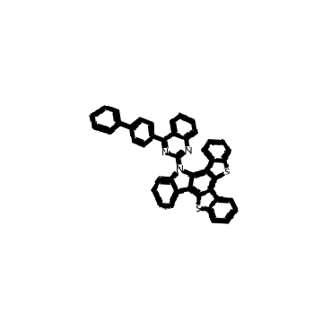 c1ccc(-c2ccc(-c3nc(-n4c5ccccc5c5c6sc7ccccc7c6c6sc7ccccc7c6c54)nc4ccccc34)cc2)cc1